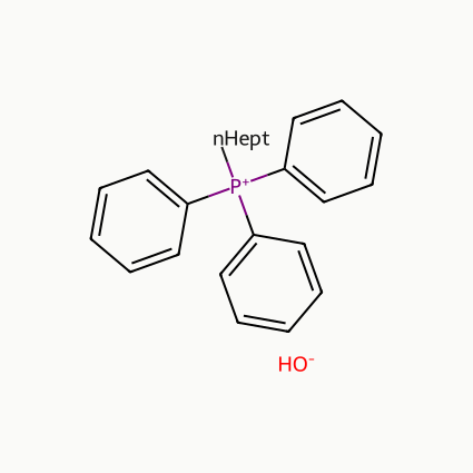 CCCCCCC[P+](c1ccccc1)(c1ccccc1)c1ccccc1.[OH-]